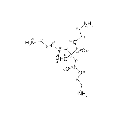 NCCOC(=O)CC(O)(CC(=O)OCCN)C(=O)OCCN